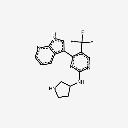 FC(F)(F)c1cnc(NC2CCNC2)nc1-c1c[nH]c2ncccc12